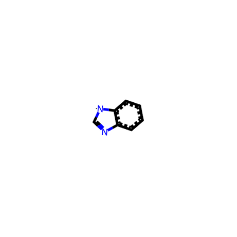 C1=Nc2ccccc2[N]1